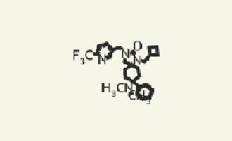 CN(C)C1(c2ccccc2)CCC2(CC1)CN(Cc1ccc(C(F)(F)F)nc1)C(=O)N2CC1CCC1